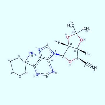 C#C[C@H]1O[C@@H](n2cnc3c(C4(N)CCCCC4)ncnc32)[C@@H]2OC(C)(C)O[C@@H]21